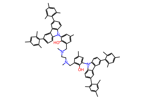 Cc1cc(C)c(-c2ccc3c(c2)c2cc(-c4c(C)cc(C)cc4C)ccc2n3-c2cc(C)cc(CN(C)CCN(C)Cc3cc(C)cc(-n4c5ccc(-c6c(C)cc(C)cc6C)cc5c5cc(-c6c(C)cc(C)cc6C)ccc54)c3O)c2O)c(C)c1